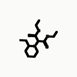 CCOC(=O)C(C(=O)OCC)N1CCCCC1CC